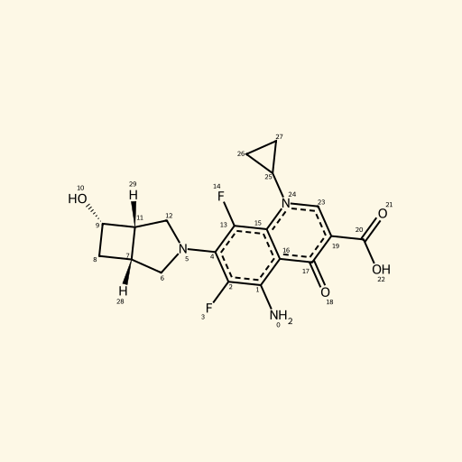 Nc1c(F)c(N2C[C@@H]3C[C@H](O)[C@@H]3C2)c(F)c2c1c(=O)c(C(=O)O)cn2C1CC1